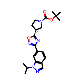 CC(C)n1ncc2ccc(-c3noc([C@H]4CCN(C(=O)OC(C)(C)C)C4)n3)cc21